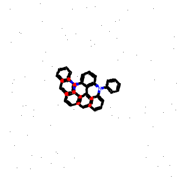 c1ccc(-c2ccccc2-c2c(N(c3ccccc3)c3ccccc3)cccc2N(c2ccccc2)c2ccccc2)cc1